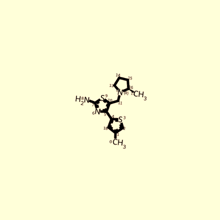 Cc1csc(-c2nc(N)sc2CN2CCC[C@H]2C)c1